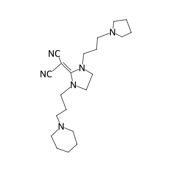 N#CC(C#N)=C1N(CCCN2CCCCC2)CCN1CCCN1CCCC1